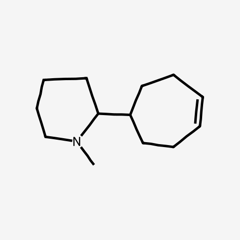 CN1CCCCC1C1CCC=CCC1